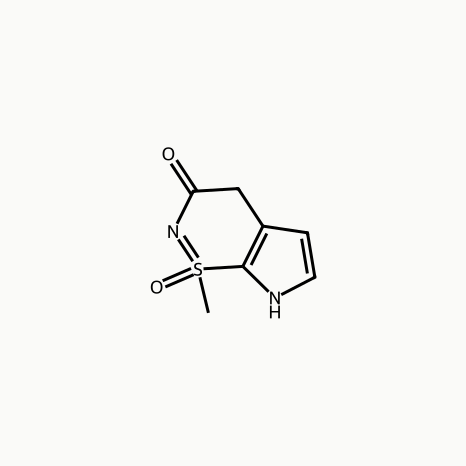 CS1(=O)=NC(=O)Cc2cc[nH]c21